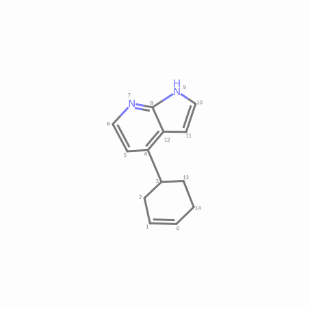 C1=CCC(c2ccnc3[nH]ccc23)CC1